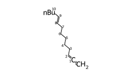 C=C=CCCCCCC=CCCCC